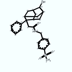 CS(=O)(=O)c1ccc(CNC(=O)CC2(c3ccccc3)C3CC4CC2CC(C3)C4O)cc1